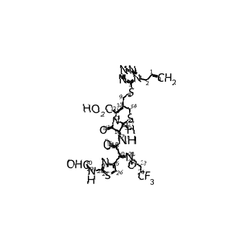 C=CCn1nnnc1SCC1=C(C(=O)O)N2C(=O)C(NC(=O)C(=NOCC(F)(F)F)c3csc(NC=O)n3)[C@@H]2SC1